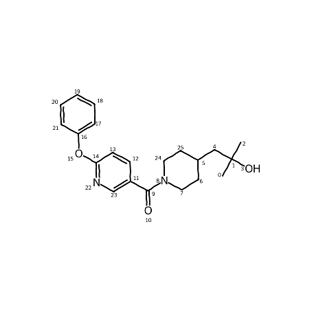 CC(C)(O)CC1CCN(C(=O)c2ccc(Oc3ccccc3)nc2)CC1